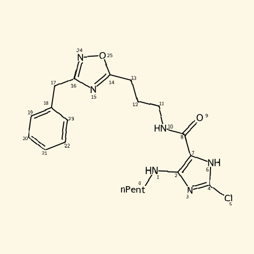 CCCCCNc1nc(Cl)[nH]c1C(=O)NCCCc1nc(Cc2ccccc2)no1